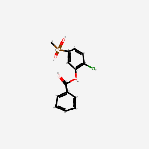 CS(=O)(=O)c1ccc(Cl)c(OC(=O)c2ccccc2)c1